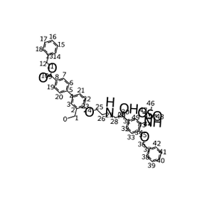 CCc1cc(-c2ccc(C(=O)OCc3ccccc3)cc2)ccc1OCCNC[C@@H](O)c1ccc(OCc2ccccc2)c(NS(C)(=O)=O)c1